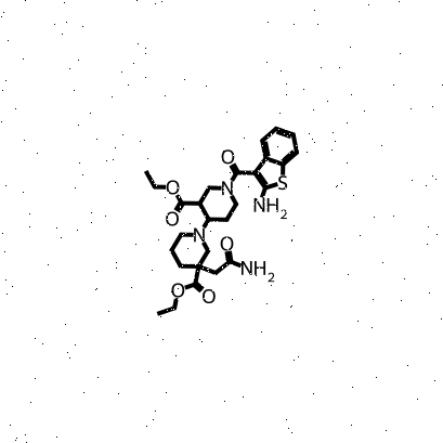 CCOC(=O)C1CN(C(=O)c2c(N)sc3ccccc23)CCC1N1CCCC(CC(N)=O)(C(=O)OCC)C1